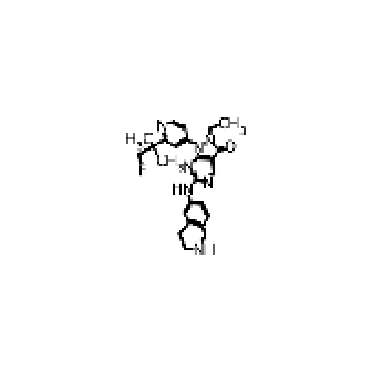 CCn1c(=O)c2cnc(Nc3ccc4c(c3)CCNC4)nc2n1-c1ccnc(C(C)(C)CF)c1